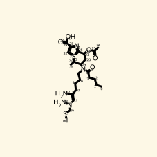 CCCCC(=O)N(CCCC/C(N)=C/N(N)CSI)C(CC(OC(C)=O)c1nc(C(=O)O)cs1)C(C)C